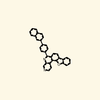 c1ccc2cc(-c3ccc(-c4nc5cnccc5c5c4ccc4c6ccccc6oc45)cc3)ccc2c1